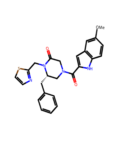 COc1ccc2[nH]c(C(=O)N3CC(=O)N(Cc4nccs4)[C@@H](Cc4ccccc4)C3)cc2c1